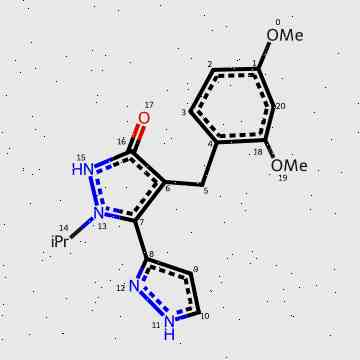 COc1ccc(Cc2c(-c3cc[nH]n3)n(C(C)C)[nH]c2=O)c(OC)c1